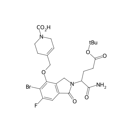 CC(C)(C)OC(=O)CCC(C(N)=O)N1Cc2c(cc(F)c(Br)c2OCC2=CCN(C(=O)O)CC2)C1=O